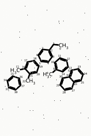 CCc1ccccc1.Cc1ccccc1.Cc1ccccc1C.c1ccc2ccccc2c1.c1ccccc1